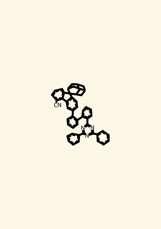 N#Cc1cccc2c1-c1cc(-c3ccccc3-c3ccccc3-c3nc(-c4ccccc4)nc(-c4ccccc4)n3)ccc1C21C2CC3CC(C2)CC1C3